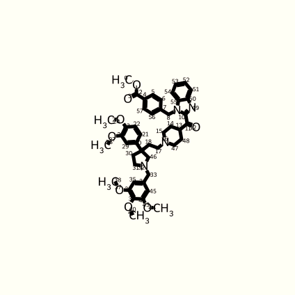 COC(=O)c1ccc(Cn2c(C(=O)C3CCN(CCC4(c5ccc(OC)c(OC)c5)CCN(Cc5cc(OC)c(OC)c(OC)c5)C4)CC3)nc3ccccc32)cc1